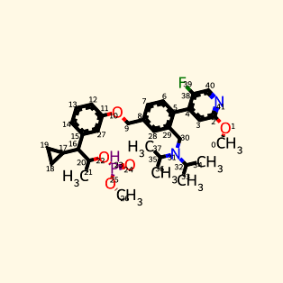 COc1cc(-c2ccc(COc3cccc(C(C4CC4)C(C)O[PH](=O)OC)c3)cc2CN(C(C)C)C(C)C)c(F)cn1